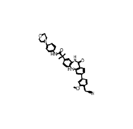 COc1cc(-c2ccc3c(c2)Nc2ccc(C(C)(C)C(=O)Nc4ccc(N5CCOCC5)cc4)cc2NC3=O)ccc1CC#N